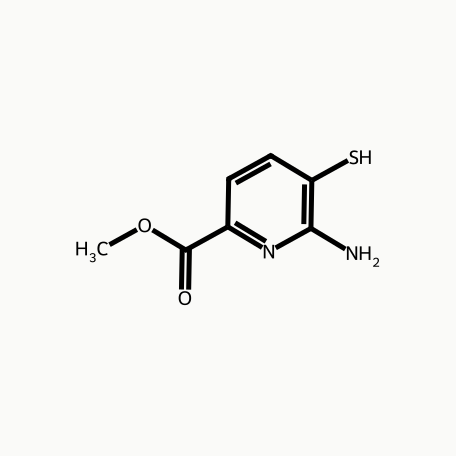 COC(=O)c1ccc(S)c(N)n1